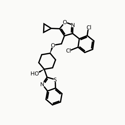 O[C@]1(c2nc3ccccc3s2)CC[C@H](OCc2c(-c3c(Cl)cccc3Cl)noc2C2CC2)CC1